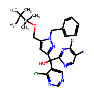 CC(C)(C)[Si](C)(C)OCc1cc(C(O)(c2ncc(I)c(Cl)n2)c2cncnc2Cl)nn1Cc1ccccc1